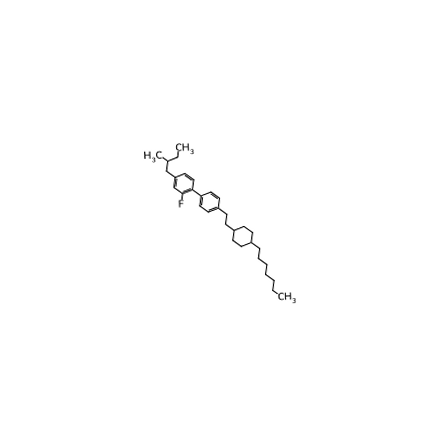 CCCCCCCC1CCC(CCc2ccc(-c3ccc(CC(C)CC)cc3F)cc2)CC1